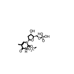 CC(=O)O.Cc1cn([C@H]2C[C@H](O)[C@@H](COP(=O)(O)O)O2)c(=O)[nH]c1=O